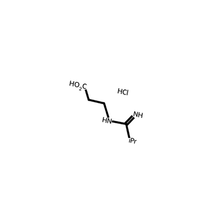 CC(C)C(=N)NCCC(=O)O.Cl